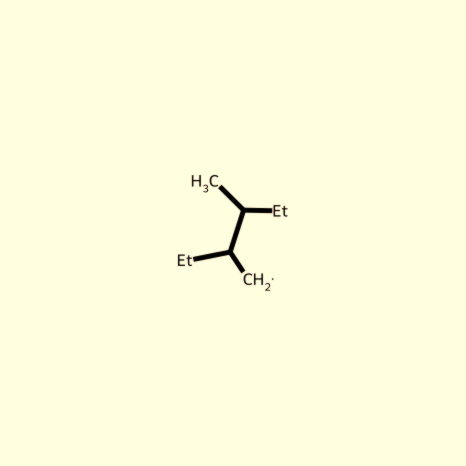 [CH2]C(CC)C(C)CC